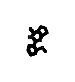 COc1ccccc1-c1nc2c(c(=O)[nH]1)CCC2